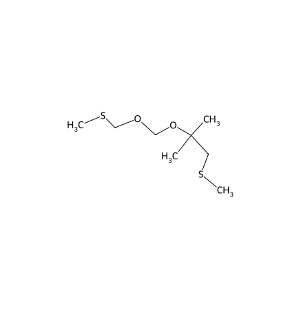 CSCOCOC(C)(C)CSC